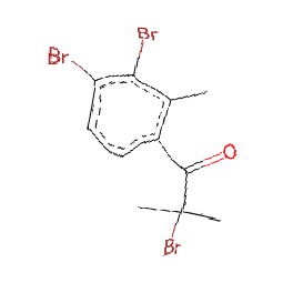 Cc1c(C(=O)C(C)(C)Br)ccc(Br)c1Br